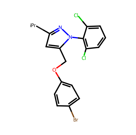 CC(C)c1cc(COc2ccc(Br)cc2)n(-c2c(Cl)cccc2Cl)n1